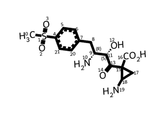 CS(=O)(=O)c1ccc(C[C@@H](N)[C@H](O)C(=O)C2(C(=O)O)CC2N)cc1